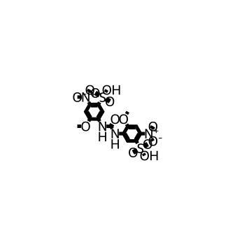 COc1cc([N+](=O)[O-])c(S(=O)(=O)O)cc1NC(=O)Nc1cc(S(=O)(=O)O)c([N+](=O)[O-])cc1OC